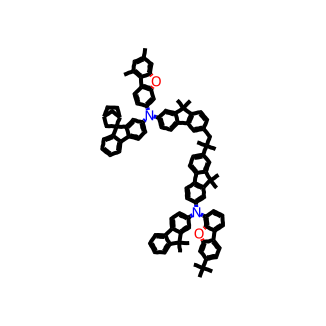 Cc1cc(C)c2c(c1)oc1cc(N(c3ccc4c(c3)C(C)(C)c3ccc(CC(C)(C)c5ccc6c(c5)C(C)(C)c5cc(N(c7ccc8c(c7)C(C)(C)c7ccccc7-8)c7cccc8c7oc7cc(C(C)(C)C)ccc78)ccc5-6)cc3-4)c3ccc4c(c3)C3(CC5CCC3C5)c3ccccc3-4)ccc12